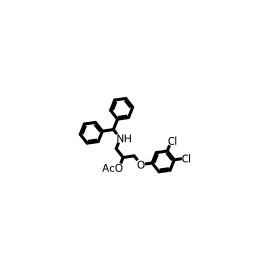 CC(=O)OC(CNC(c1ccccc1)c1ccccc1)COc1ccc(Cl)c(Cl)c1